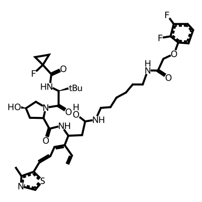 C=C/C(=C\C=C\c1scnc1C)C(CC(O)NCCCCCCNC(=O)COc1cccc(F)c1F)NC(=O)C1C[C@@H](O)CN1C(=O)[C@@H](NC(=O)C1(F)CC1)C(C)(C)C